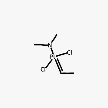 C[CH]=[Pt]([Cl])([Cl])[N](C)C